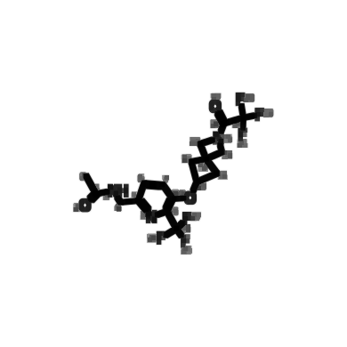 CC(=O)NCc1ccc(OC2CC3(C2)CN(C(=O)C(F)(F)F)C3)c(C(F)(F)F)n1